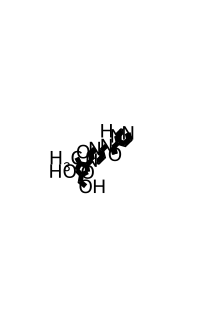 CC1C(O)C(CO)OC1n1ccc(NC(=O)c2ccncn2)nc1=O